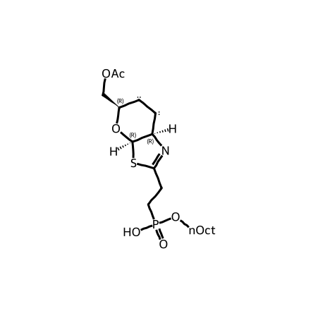 CCCCCCCCOP(=O)(O)CCC1=N[C@@H]2[C][C][C@H](COC(C)=O)O[C@@H]2S1